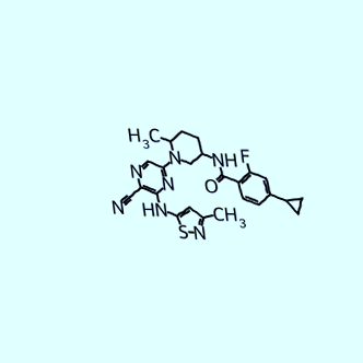 Cc1cc(Nc2nc(N3CC(NC(=O)c4ccc(C5CC5)cc4F)CCC3C)cnc2C#N)sn1